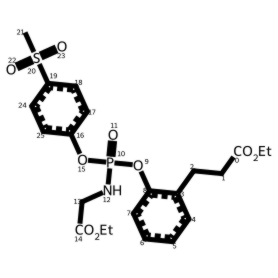 CCOC(=O)CCc1ccccc1OP(=O)(NCC(=O)OCC)Oc1ccc(S(C)(=O)=O)cc1